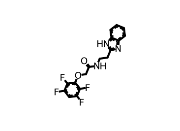 O=C(COc1c(F)c(F)cc(F)c1F)NCCc1nc2ccccc2[nH]1